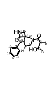 C[C@H](C(=O)N1CCN(Cc2ccccc2)C2(CNC2=O)C1)[C@@H](C)O